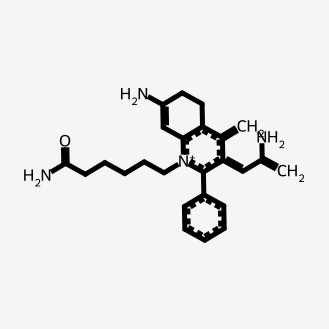 C=C(N)/C=c1/c(-c2ccccc2)[n+](CCCCCC(N)=O)c2c(c1=C)CCC(N)=C2